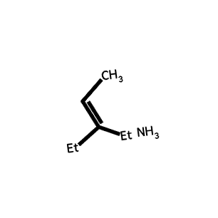 CC=C(CC)CC.N